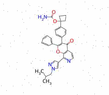 CC(C)Cn1cc(-c2nccc3c(=O)c(-c4ccc(C5(OC(N)=O)CCC5)cc4)c(-c4ccccc4)oc23)cn1